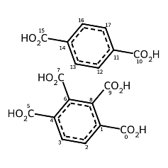 O=C(O)c1ccc(C(=O)O)c(C(=O)O)c1C(=O)O.O=C(O)c1ccc(C(=O)O)cc1